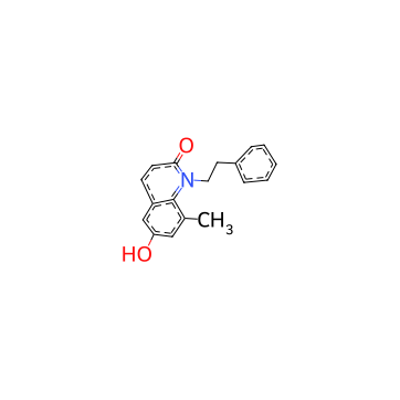 Cc1cc(O)cc2ccc(=O)n(CCc3ccccc3)c12